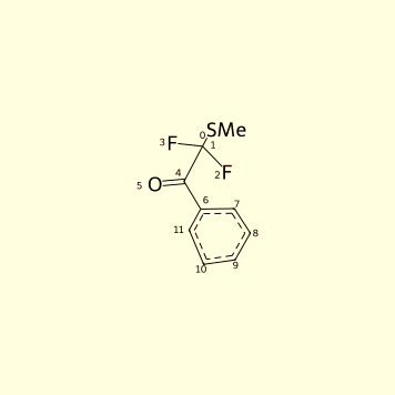 CSC(F)(F)C(=O)c1ccccc1